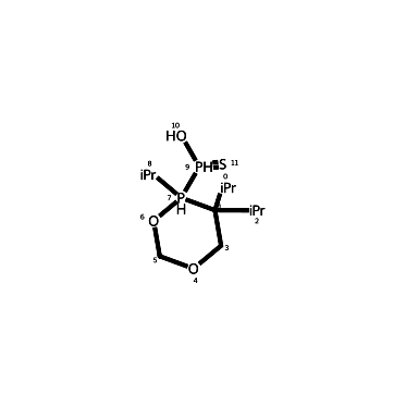 CC(C)C1(C(C)C)COCO[PH]1(C(C)C)[PH](O)=S